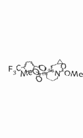 COC(=O)N1CCC[C@@](Oc2ccc(C(F)(F)F)cc2)(C(=O)OC)[C@H]1CC1CC1